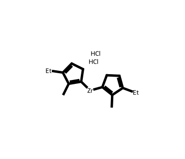 CCC1=CC[C]([Zr][C]2=C(C)C(CC)=CC2)=C1C.Cl.Cl